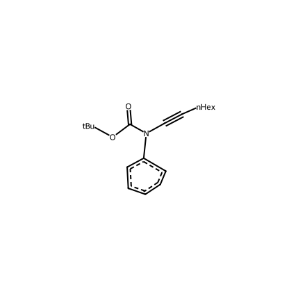 CCCCCCC#CN(C(=O)OC(C)(C)C)c1ccccc1